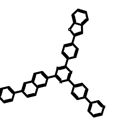 c1ccc(-c2ccc3cc(-c4nc(-c5ccc(-c6cccnc6)cc5)nc(-c5ccc(-c6cc7ccccc7o6)cc5)n4)ccc3c2)cc1